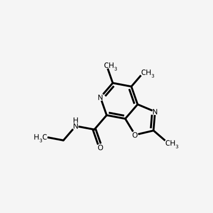 CCNC(=O)c1nc(C)c(C)c2nc(C)oc12